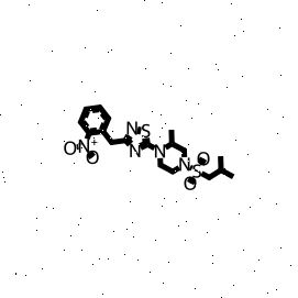 CC(C)CS(=O)(=O)N1CCN(c2nc(Cc3ccccc3[N+](=O)[O-])ns2)C(C)C1